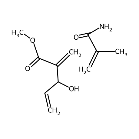 C=C(C)C(N)=O.C=CC(O)C(=C)C(=O)OC